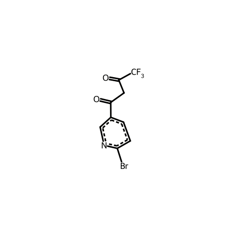 O=C(CC(=O)C(F)(F)F)c1ccc(Br)nc1